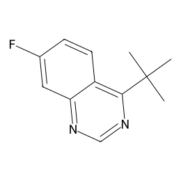 CC(C)(C)c1ncnc2cc(F)ccc12